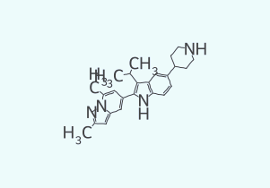 Cc1cc2cc(-c3[nH]c4ccc(C5CCNCC5)cc4c3C(C)C)cc(C)n2n1